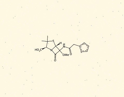 COC1(NC(=O)Cc2cccs2)C(=O)N2[C@@H](C(=O)O)C(C)(C)S[C@@H]21